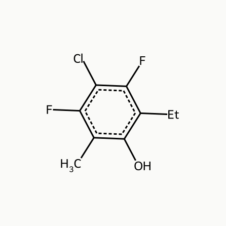 CCc1c(O)c(C)c(F)c(Cl)c1F